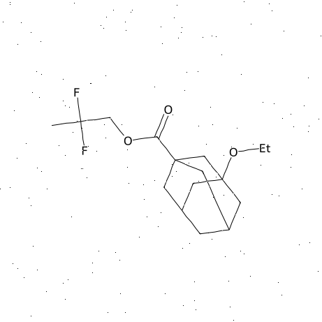 CCOC12CC3CC(C1)CC(C(=O)OCC(C)(F)F)(C3)C2